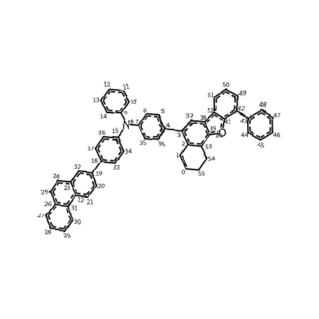 C1=Cc2c(-c3ccc(N(c4ccccc4)c4ccc(-c5ccc6c(ccc7ccccc76)c5)cc4)cc3)cc3c(oc4c(-c5ccccc5)cccc43)c2CC1